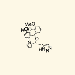 COc1cccc([C@H]2O[C@H](CCc3cnn[nH]3)c3cccn3-c3ccc(Cl)cc32)c1OC